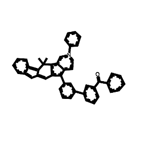 CC1(C)C2=c3ccccc3=CC2=Cc2c(-c3cccc(-c4cccc(C(=O)c5ccccc5)c4)c3)c3ccn(-c4ccccc4)cc-3c21